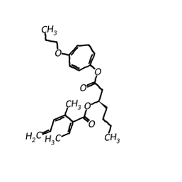 C=C/C=C(C)\C(=C/C)C(=O)O[C@H](CCCC)CC(=O)OC1=CCC=C(OCCC)C=C1